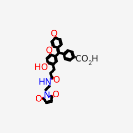 O=C(CCc1cc2c(-c3ccc(C(=O)O)cc3)c3ccc(=O)cc-3oc2cc1O)NCCN1C(=O)C=CC1=O